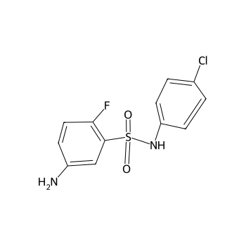 Nc1ccc(F)c(S(=O)(=O)Nc2ccc(Cl)cc2)c1